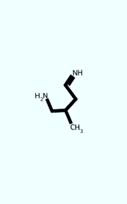 CC(CN)CC=N